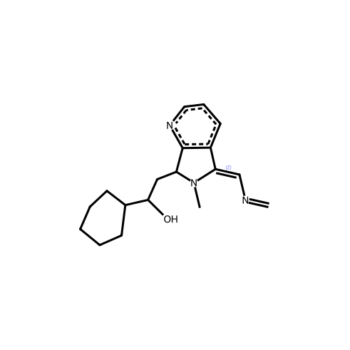 C=N/C=C1/c2cccnc2C(CC(O)C2CCCCC2)N1C